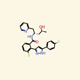 C[C@H](O)C[C@@H](Cc1ccccn1)NC(=O)c1cccc(F)c1-c1cc(-c2ccc(F)cc2)[nH]n1